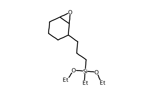 CCO[Si](CC)(CCCC1CCCC2OC12)OCC